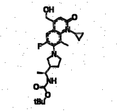 Cc1c(N2CC[C@@H]([C@H](C)NC(=O)OC(C)(C)C)C2)c(F)cc2c(CO)cc(=O)n(C3CC3)c12